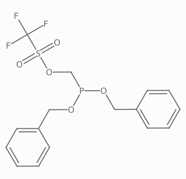 O=S(=O)(OCP(OCc1ccccc1)OCc1ccccc1)C(F)(F)F